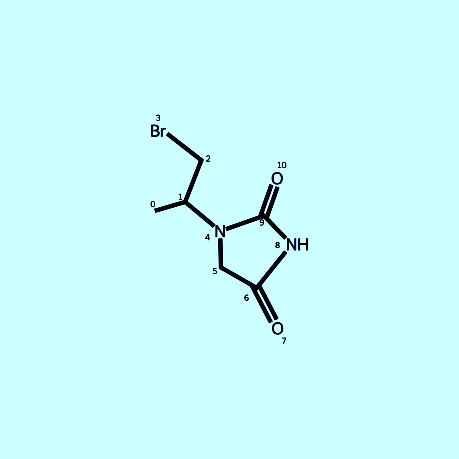 CC(CBr)N1CC(=O)NC1=O